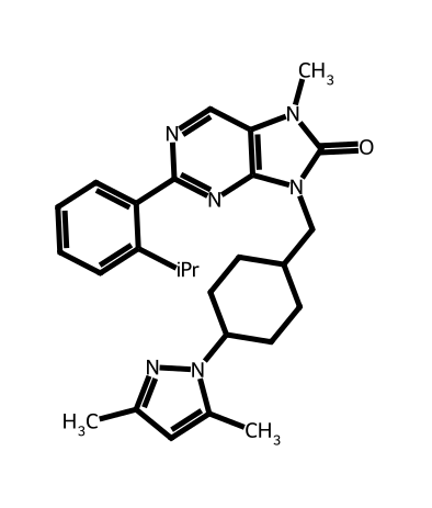 Cc1cc(C)n(C2CCC(Cn3c(=O)n(C)c4cnc(-c5ccccc5C(C)C)nc43)CC2)n1